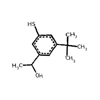 CC(O)c1cc(S)cc(C(C)(C)C)c1